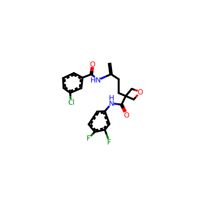 C=C(CCC1(C(=O)Nc2ccc(F)c(F)c2)COC1)NC(=O)c1cccc(Cl)c1